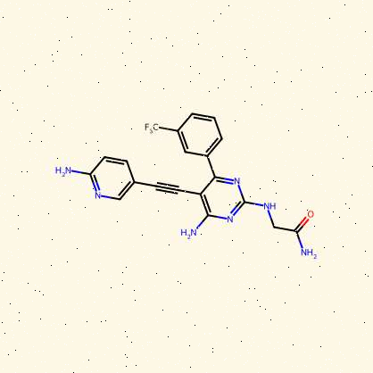 NC(=O)CNc1nc(N)c(C#Cc2ccc(N)nc2)c(-c2cccc(C(F)(F)F)c2)n1